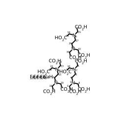 O=C(O)CN(CCN(CC(=O)O)CC(=O)O)CC(=O)O.O=C(O)CN(CCN(CC(=O)O)CC(=O)O)CC(=O)O.O=C(O)CN(CCN(CC(=O)O)CC(=O)O)CC(=O)O.[Fe].[Fe].[Fe].[Fe].[NaH]